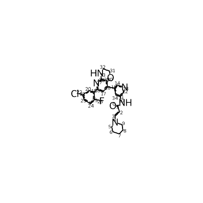 O=C(C=CN1CCCCC1)Nc1cncc(-c2cc(-c3cc(Cl)ccc3F)nc3c2OCCN3)c1